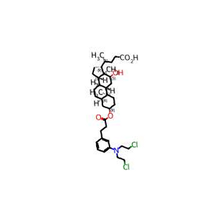 C[C@H](CCC(=O)O)[C@H]1CC[C@H]2[C@@H]3CC[C@@H]4C[C@H](OC(=O)CCc5cccc(N(CCCl)CCCl)c5)CC[C@]4(C)[C@H]3C[C@H](O)[C@]12C